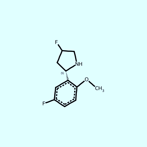 COc1ccc(F)cc1[C@@H]1CC(F)CN1